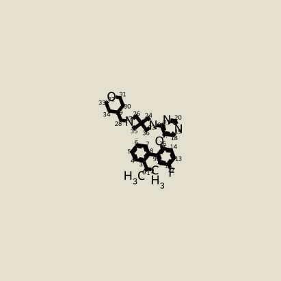 CC(C)c1ccccc1-c1cc(F)ccc1Oc1cncnc1N1CC2(CN(CC3CCOCC3)C2)C1